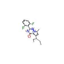 CCC(CC)c1cc(C)n2nc(-c3c(F)cccc3F)n(C)c(=O)c12